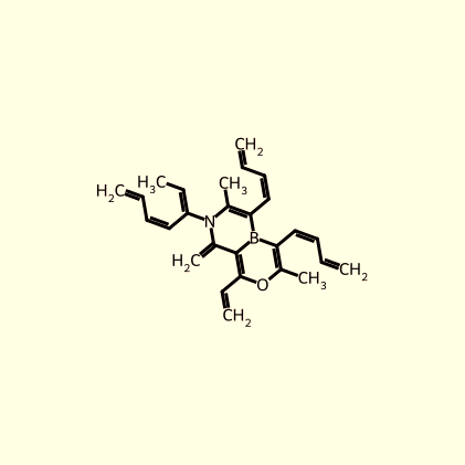 C=C/C=C\C1=C(C)OC(C=C)=C2B1C(/C=C\C=C)=C(C)N(C(/C=C\C=C)=C/C)C2=C